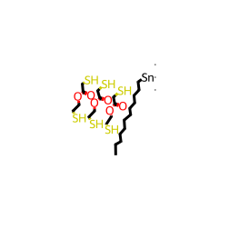 CCCCCCCCCCC[CH2][Sn].O=C(CS)OCCS.O=C(CS)OCCS.O=C(CS)OCCS